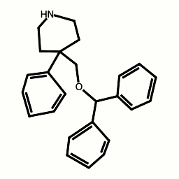 c1ccc(C(OCC2(c3ccccc3)CCNCC2)c2ccccc2)cc1